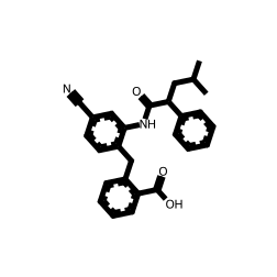 CC(C)CC(C(=O)Nc1cc(C#N)ccc1Cc1ccccc1C(=O)O)c1ccccc1